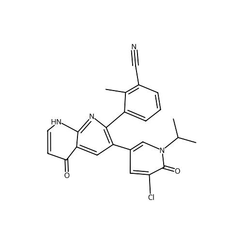 Cc1c(C#N)cccc1-c1nc2[nH]ccc(=O)c2cc1-c1cc(Cl)c(=O)n(C(C)C)c1